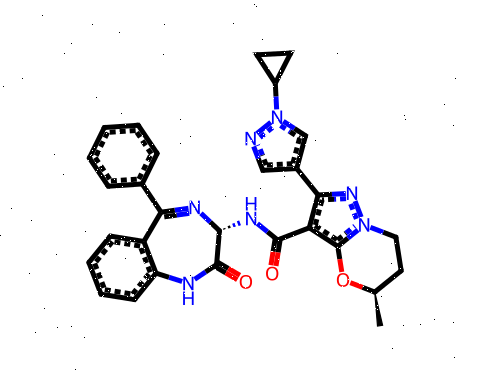 C[C@@H]1CCn2nc(-c3cnn(C4CC4)c3)c(C(=O)N[C@H]3N=C(c4ccccc4)c4ccccc4NC3=O)c2O1